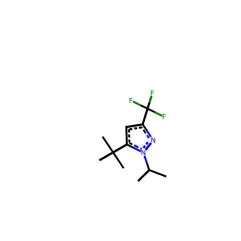 CC(C)n1nc(C(F)(F)F)cc1C(C)(C)C